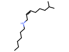 CCCCCCNC/C=C\CCCC(C)C